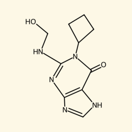 O=c1c2[nH]cnc2nc(NCO)n1C1CCC1